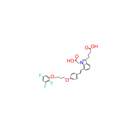 O=C(O)CCCc1cn(CC(=O)O)c2c(C=Cc3ccc(OCCCCOc4cc(F)cc(F)c4F)cc3)cccc12